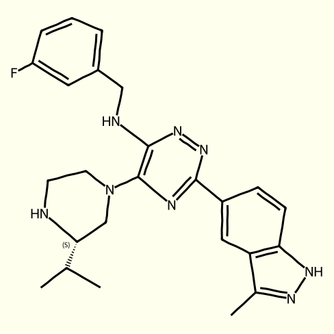 Cc1n[nH]c2ccc(-c3nnc(NCc4cccc(F)c4)c(N4CCN[C@@H](C(C)C)C4)n3)cc12